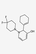 OC1=CC=CN(N2CCC(F)(F)CC2)C1C1=CCCCC1